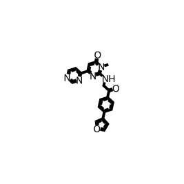 Cn1c(NCC(=O)c2ccc(-c3ccoc3)cc2)nc(-c2ccncn2)cc1=O